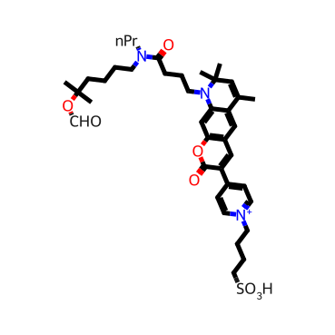 CCCN(CCCCC(C)(C)OC=O)C(=O)CCCN1c2cc3oc(=O)c(-c4cc[n+](CCCCS(=O)(=O)O)cc4)cc3cc2C(C)=CC1(C)C